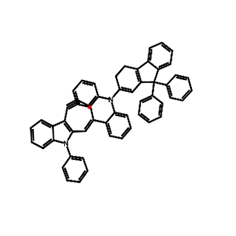 C1#Cc2c(n(-c3ccccc3)c3ccccc23)C=C(c2ccccc2N(C2=CC3=C(CC2)c2ccccc2C3(c2ccccc2)c2ccccc2)c2ccccc2)C1